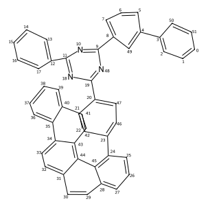 c1ccc(-c2cccc(-c3nc(-c4ccccc4)nc(-c4ccc(-c5cccc6ccc7ccc8c9ccccc9ccc8c7c56)cc4)n3)c2)cc1